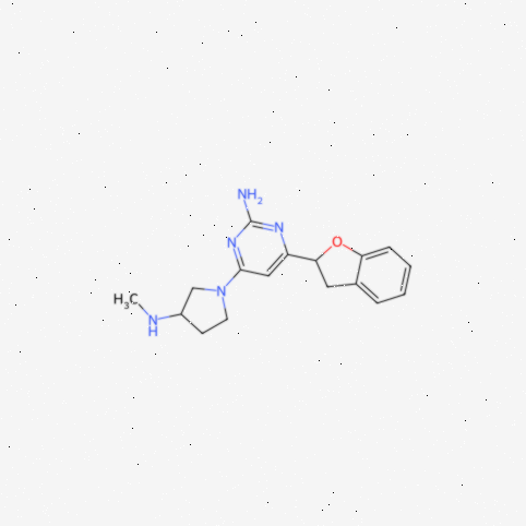 CNC1CCN(c2cc(C3Cc4ccccc4O3)nc(N)n2)C1